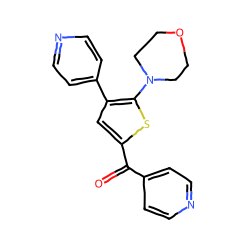 O=C(c1ccncc1)c1cc(-c2ccncc2)c(N2CCOCC2)s1